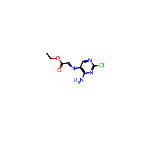 CCOC(=O)C=Nc1cnc(Cl)nc1N